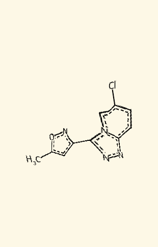 Cc1cc(-c2nnc3ccc(Cl)cn23)no1